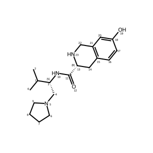 CC(C)[C@@H](CN1CCCC1)NC(=O)[C@H]1Cc2ccc(O)cc2CN1